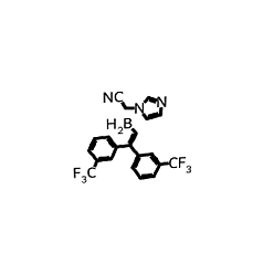 BC=C(c1cccc(C(F)(F)F)c1)c1cccc(C(F)(F)F)c1.N#CCn1ccnc1